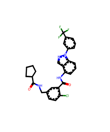 O=C(Nc1cccc2c1cnn2-c1cccc(C(F)(F)F)c1)c1cc(CNC(=O)C2CCCC2)ccc1Cl